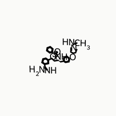 CC(=N)N1CCC(Oc2ccc(C[C@@H](CCc3cccc(C(=N)N)c3)NS(=O)(=O)c3ccccc3)cc2)CC1